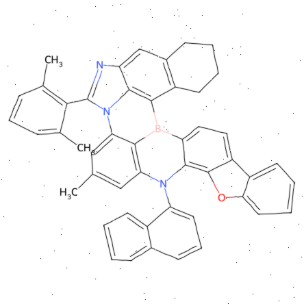 Cc1cc2c3c(c1)-n1c(-c4c(C)cccc4C)nc4cc5c(c(c41)B3c1ccc3c(oc4ccccc43)c1N2c1cccc2ccccc12)CCCC5